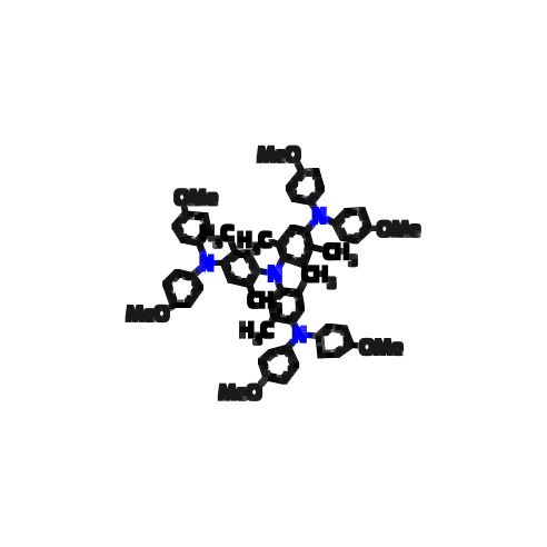 COc1ccc(N(c2ccc(OC)cc2)c2cc(C)c(N(c3cc(C)c(N(c4ccc(OC)cc4)c4ccc(OC)cc4)cc3C)c3cc(C)c(N(c4ccc(OC)cc4)c4ccc(OC)cc4)cc3C)cc2C)cc1